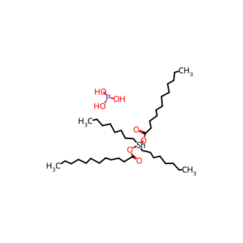 CCCCCCCCCCCC(=O)[O][Sn]([CH2]CCCCCCC)([CH2]CCCCCCC)[O]C(=O)CCCCCCCCCCC.OP(O)O